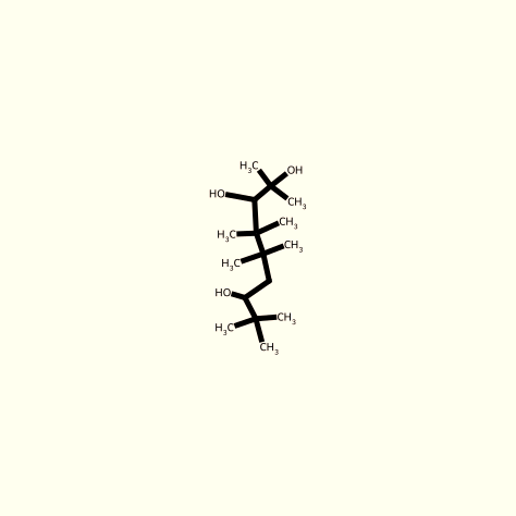 CC(C)(C)C(O)CC(C)(C)C(C)(C)C(O)C(C)(C)O